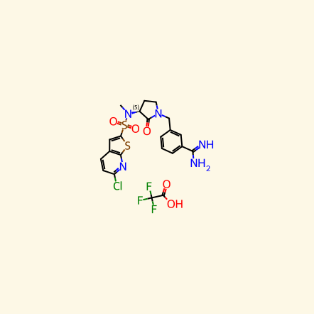 CN([C@H]1CCN(Cc2cccc(C(=N)N)c2)C1=O)S(=O)(=O)c1cc2ccc(Cl)nc2s1.O=C(O)C(F)(F)F